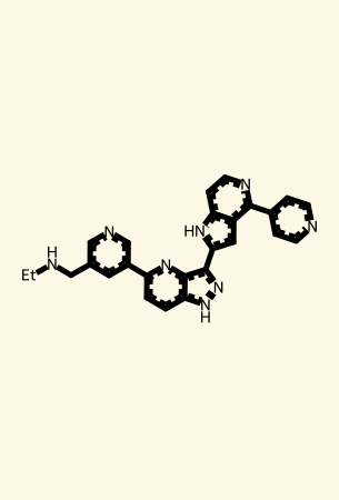 CCNCc1cncc(-c2ccc3[nH]nc(-c4cc5c(-c6ccncc6)nccc5[nH]4)c3n2)c1